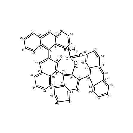 NP1(=O)Oc2c(-c3c4ccccc4cc4ccccc34)cc3ccccc3c2-c2c(c(-c3c4ccccc4cc4ccccc34)cc3ccccc23)O1